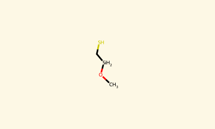 CO[SiH2]CS